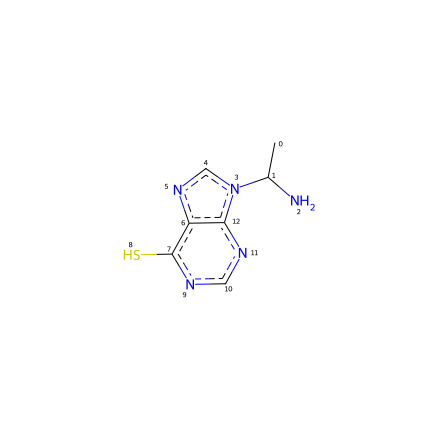 CC(N)n1cnc2c(S)ncnc21